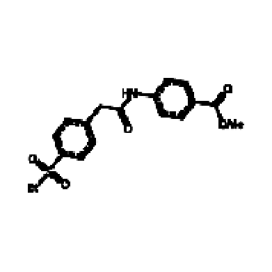 CCS(=O)(=O)c1ccc(CC(=O)Nc2ccc(C(=O)OC)cc2)cc1